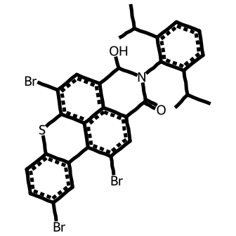 CC(C)c1cccc(C(C)C)c1N1C(=O)c2cc(Br)c3c4c(c(Br)cc(c24)C1O)Sc1ccc(Br)cc1-3